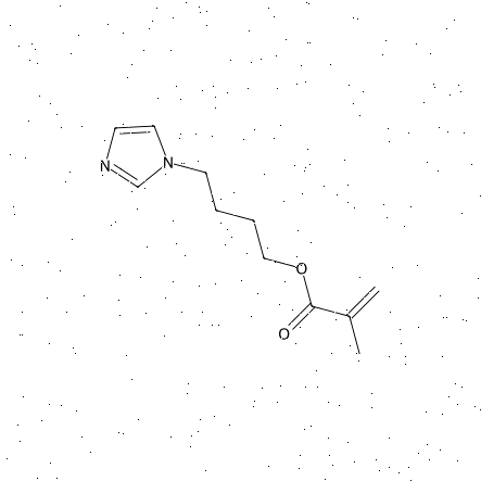 C=C(C)C(=O)OCCCCn1ccnc1